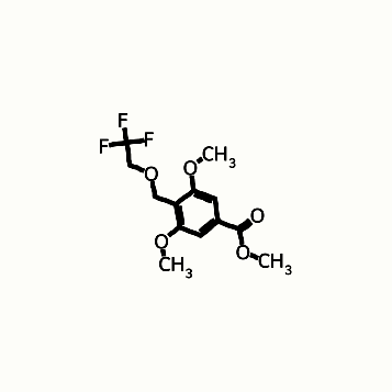 COC(=O)c1cc(OC)c(COCC(F)(F)F)c(OC)c1